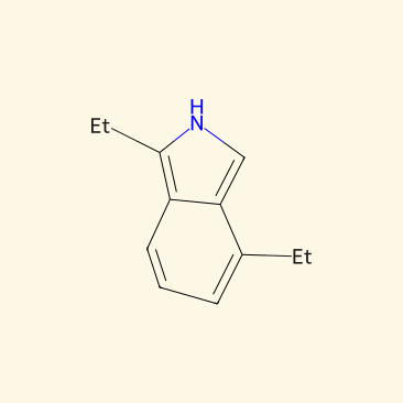 CCc1cccc2c(CC)[nH]cc12